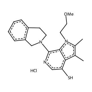 COCCn1c(C)c(C)c2c(S)cnc(N3CCc4ccccc4C3)c21.Cl